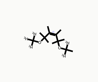 [2H]C([2H])([2H])OC(C)(C)/C(C)=C(/C)C(C)(C)OC([2H])([2H])C